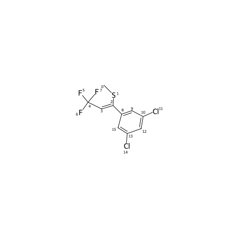 CS/C(=C\C(F)(F)F)c1cc(Cl)cc(Cl)c1